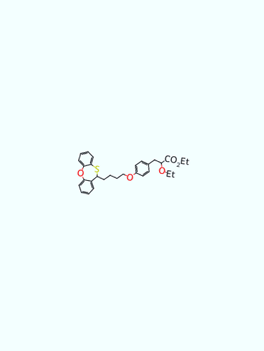 CCOC(=O)C(Cc1ccc(OCCCCC2Sc3ccccc3Oc3ccccc32)cc1)OCC